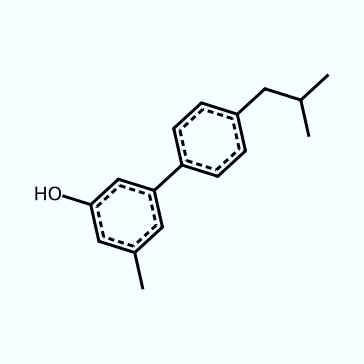 Cc1cc(O)cc(-c2ccc(CC(C)C)cc2)c1